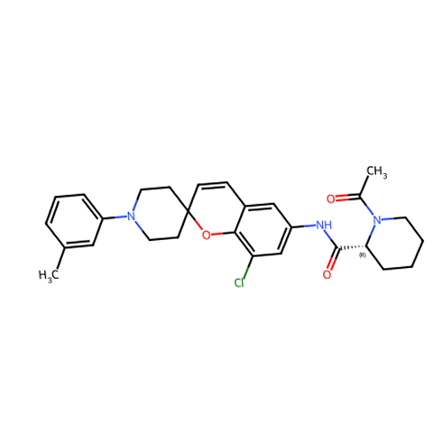 CC(=O)N1CCCC[C@@H]1C(=O)Nc1cc(Cl)c2c(c1)C=CC1(CCN(c3cccc(C)c3)CC1)O2